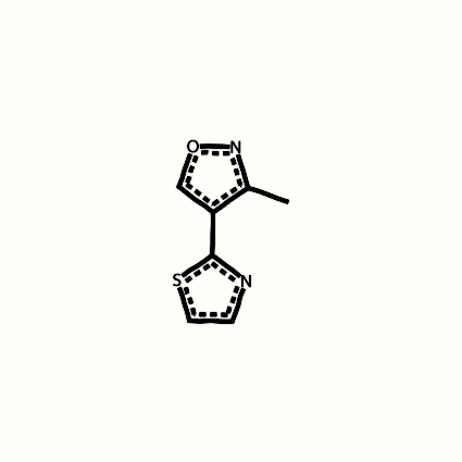 Cc1nocc1-c1nccs1